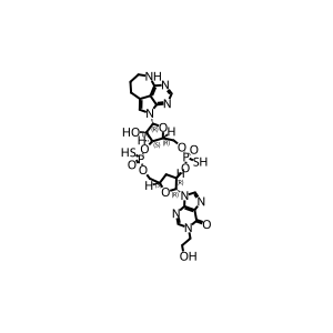 O=c1c2ncn([C@@H]3O[C@@H]4COP(=O)(S)O[C@H]5[C@@H](O)[C@H](n6cc7c8c(ncnc86)NCCC7)O[C@@H]5COP(=O)(S)O[C@@H]3C4)c2ncn1CCO